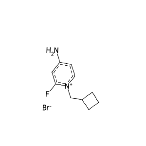 Nc1cc[n+](CC2CCC2)c(F)c1.[Br-]